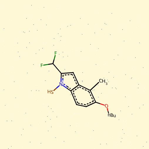 CCCCOc1ccc2c(cc(C(F)F)n2S)c1C